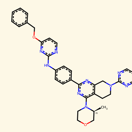 C[C@H]1COCCN1c1nc(-c2ccc(Nc3nccc(OCc4ccccc4)n3)cc2)nc2c1CCN(c1ncccn1)C2